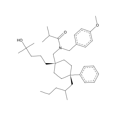 CCCC(C)C[C@]1(c2ccccc2)CC[C@@](CCCC(C)(C)O)(CN(Cc2ccc(OC)cc2)C(=O)C(C)C)CC1